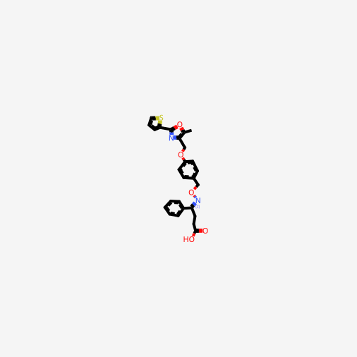 Cc1oc(-c2cccs2)nc1COc1ccc(CO/N=C(/CCC(=O)O)c2ccccc2)cc1